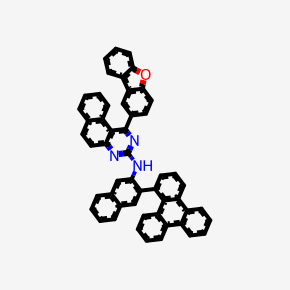 c1ccc2cc(-c3cccc4c5ccccc5c5ccccc5c34)c(Nc3nc(-c4ccc5oc6ccccc6c5c4)c4c(ccc5ccccc54)n3)cc2c1